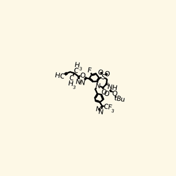 C#CCC(C)(C)c1nnc(-c2cc3c(cc2F)S(=O)(=O)C[C@H](NC(=O)OC(C)(C)C)C(=O)N3Cc2ccc(C3(C(F)(F)F)N=N3)cc2)o1